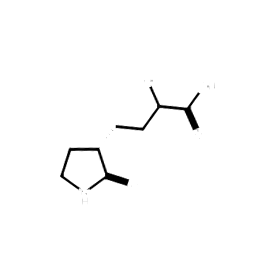 O=C(O)C(O)CC[C@H]1CCNC1=O